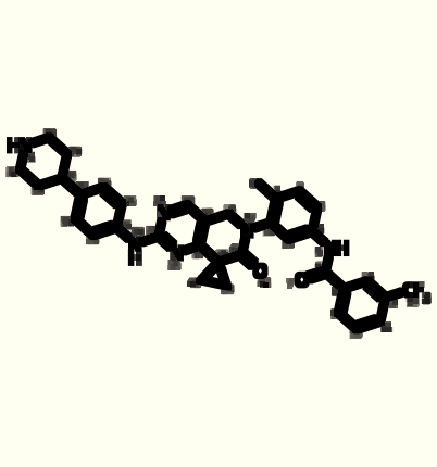 Cc1ccc(NC(=O)c2cccc(C(F)(F)F)c2)cc1N1Cc2cnc(Nc3ccc(C4CCNCC4)cc3)nc2C2(CC2)C1=O